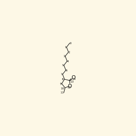 CCCCCCCCC1CC(C)OC1=O